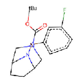 CC(C)(C)OC(=O)N1CC2CCC(C1)N2Sc1cccc(F)c1